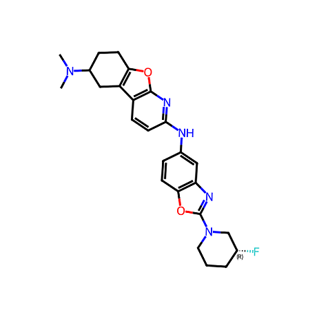 CN(C)C1CCc2oc3nc(Nc4ccc5oc(N6CCC[C@@H](F)C6)nc5c4)ccc3c2C1